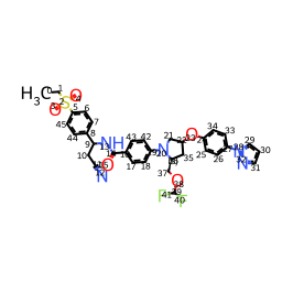 CCS(=O)(=O)c1ccc(C(CC#N)NC(=O)c2ccc(N3CC(Oc4ccc(-n5cccn5)cc4)C[C@H]3COC(F)F)cc2)cc1